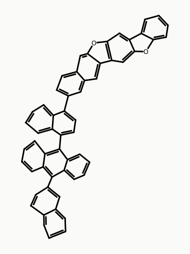 c1ccc2cc(-c3c4ccccc4c(-c4ccc(-c5ccc6cc7oc8cc9c(cc8c7cc6c5)oc5ccccc59)c5ccccc45)c4ccccc34)ccc2c1